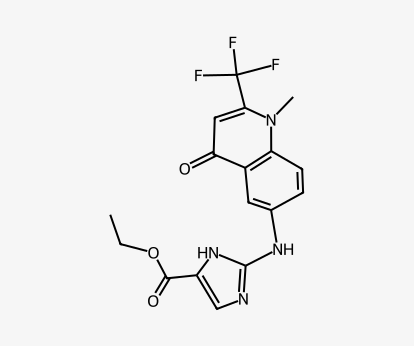 CCOC(=O)c1cnc(Nc2ccc3c(c2)c(=O)cc(C(F)(F)F)n3C)[nH]1